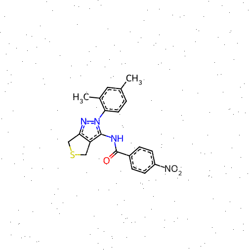 Cc1ccc(-n2nc3c(c2NC(=O)c2ccc([N+](=O)[O-])cc2)CSC3)c(C)c1